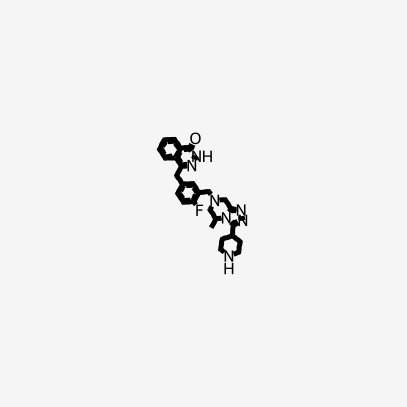 CC1CN(Cc2cc(Cc3n[nH]c(=O)c4ccccc34)ccc2F)Cc2nnc(C3CCNCC3)n21